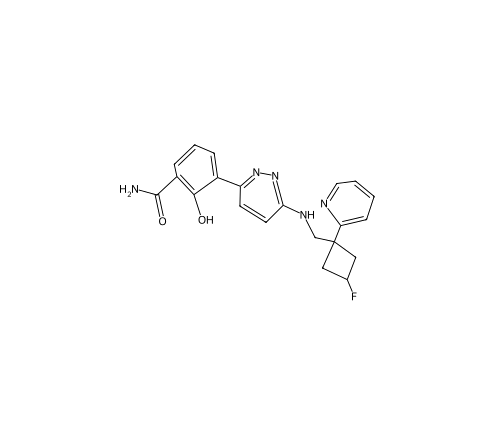 NC(=O)c1cccc(-c2ccc(NCC3(c4ccccn4)CC(F)C3)nn2)c1O